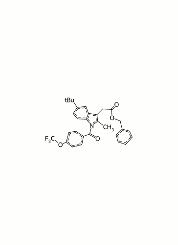 Cc1c(CC(=O)OCc2ccccc2)c2cc(C(C)(C)C)ccc2n1C(=O)c1ccc(OC(F)(F)F)cc1